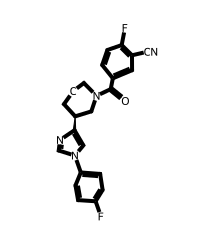 N#Cc1cc(C(=O)N2CCC[C@H](c3cn(-c4ccc(F)cc4)cn3)C2)ccc1F